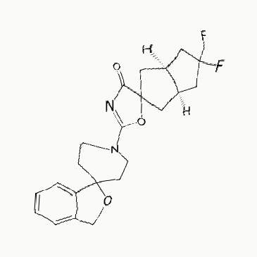 O=C1N=C(N2CCC3(CC2)OCc2ccccc23)OC12C[C@H]1CC(F)(F)C[C@H]1C2